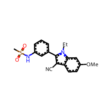 CCn1c(-c2cccc(NS(C)(=O)=O)c2)c(C#N)c2ccc(OC)cc21